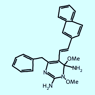 CON1C(N)=NC(Cc2ccccc2)=C(C=Cc2ccc3ccccc3c2)C1(N)OC